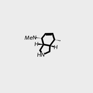 CN[C@@H]1C=C[C@H](C)[C@@H]2CNC[C@@H]21